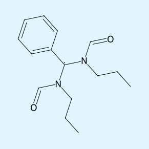 CCCN(C=O)[C](c1ccccc1)N(C=O)CCC